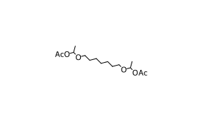 CC(=O)OC(C)OCCCCCCCOC(C)OC(C)=O